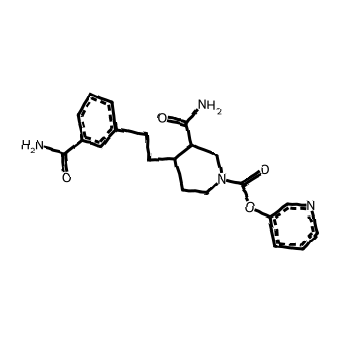 NC(=O)c1cccc(CCC2CCN(C(=O)Oc3cccnc3)CC2C(N)=O)c1